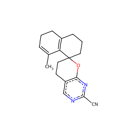 CC1=CCCC2=C1C1(CCC2)CCc2cnc(C#N)nc2O1